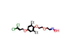 CCc1cc(OCC=C(Cl)Cl)cc(CC)c1OCCOCC=NO